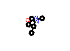 c1ccc(-c2ccc(-c3nc(-c4ccccc4)nc4ccc5oc6ccccc6c5c34)cc2)cc1